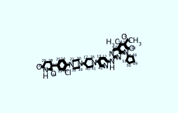 CC(=O)c1c(C)c2cnc(Nc3ccc(N4CCC(N5CCN(c6ccc(C7CCC(=O)NC7=O)cc6Cl)CC5)CC4)cn3)nc2n(C2CCCC2)c1=O